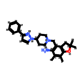 Cc1c(C)c2c(c(CN3CCC(n4ccc(-c5ccccc5)n4)CC3)c1N)CC(C)(C)O2